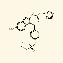 CCOP(=O)(OCC)Oc1ccc(Cn2c(NC(=O)Cn3cccn3)nc3cc(C#N)ccc32)cc1